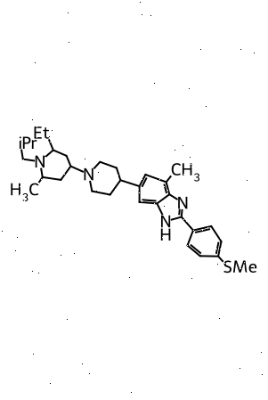 CCC1CC(N2CCC(c3cc(C)c4nc(-c5ccc(SC)cc5)[nH]c4c3)CC2)CC(C)N1CC(C)C